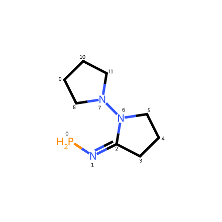 PN=C1CCCN1N1CCCC1